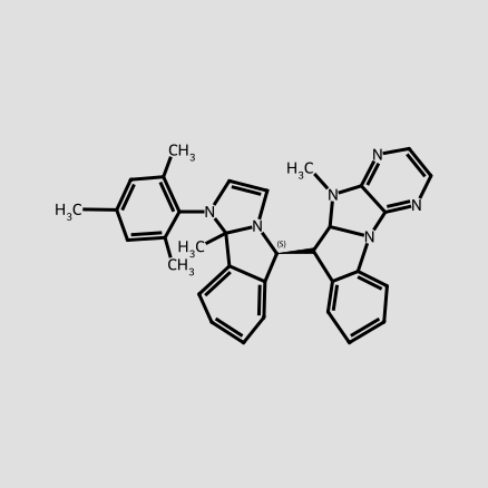 Cc1cc(C)c(N2C=CN3[C@@H](C4c5ccccc5N5c6nccnc6N(C)C45)c4ccccc4C23C)c(C)c1